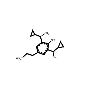 C[C@@H](c1cc(CCC(=O)O)cc([C@H](C)C2CC2)c1O)C1CC1